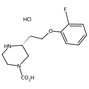 Cl.O=C(O)N1CCN[C@H](CCOc2ccccc2F)C1